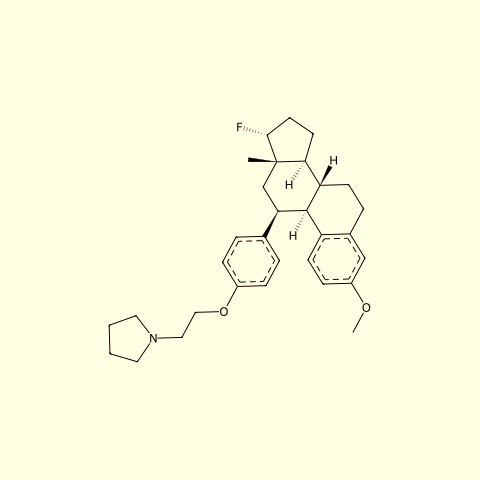 COc1ccc2c(c1)CC[C@@H]1[C@@H]2[C@@H](c2ccc(OCCN3CCCC3)cc2)C[C@]2(C)[C@H](F)CC[C@@H]12